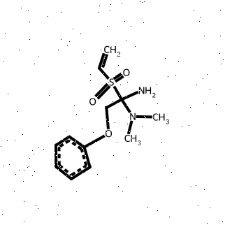 C=CS(=O)(=O)C(N)(COc1ccccc1)N(C)C